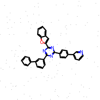 c1ccc(-c2cccc(-c3nc(-c4ccc(-c5cccnc5)cc4)nc(-c4cc5ccccc5o4)n3)c2)cc1